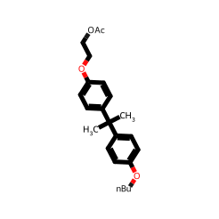 CCCCOc1ccc(C(C)(C)c2ccc(OCCOC(C)=O)cc2)cc1